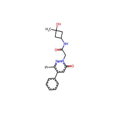 CC(C)c1nn(CC(=O)NC2CC(C)(O)C2)c(=O)cc1-c1ccccc1